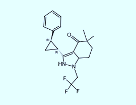 CC1(C)CCC2C(=C([C@@H]3C[C@H]3c3ccccc3)NN2CC(F)(F)F)C1=O